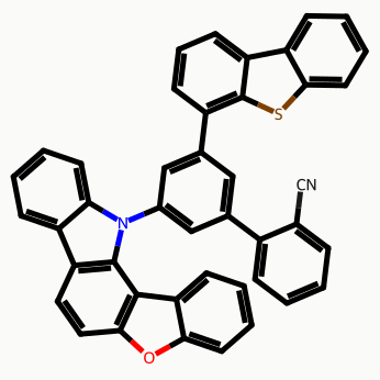 N#Cc1ccccc1-c1cc(-c2cccc3c2sc2ccccc23)cc(-n2c3ccccc3c3ccc4oc5ccccc5c4c32)c1